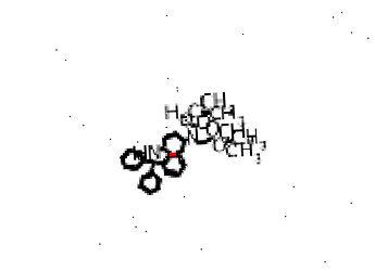 CC(C)(C)OC(=O)CN(C(=O)OC(C)(C)C)C1CCC(NC(c2ccccc2)(c2ccccc2)c2ccccc2)CC1